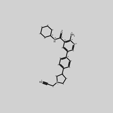 C#CCN1CCC(c2ccc(-c3cnc(N)c(C(=O)NC4CCCCC4)c3)cc2)C1